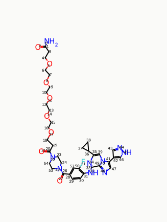 NC(=O)CCOCCOCCOCCOCCOCCC(=O)N1CCN(C(=O)c2ccc(Nc3nc(C4CC4)cn4c(-c5cn[nH]c5)cnc34)c(F)c2)CC1